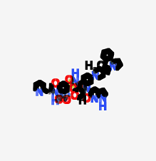 CCc1ccccc1[C@@H]1CCCN1C1CC2(CCN(c3ccc(C(=O)NS(=O)(=O)c4cc5c(c([N+](=O)[O-])c4)N[C@@H](Cc4ccccn4)CO5)c(N4c5cc6cc[nH]c6nc5O[C@@H]5COCC[C@@H]54)c3)CC2)C1